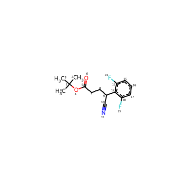 CC(C)(C)OC(=O)CCC(C#N)c1c(F)cccc1F